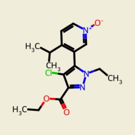 CCOC(=O)c1nn(CC)c(-c2c[n+]([O-])ccc2C(C)C)c1Cl